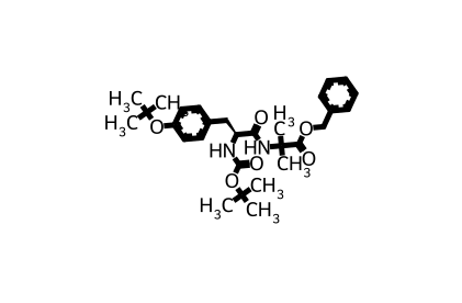 CC(C)(C)OC(=O)N[C@@H](Cc1ccc(OC(C)(C)C)cc1)C(=O)NC(C)(C)C(=O)OCc1ccccc1